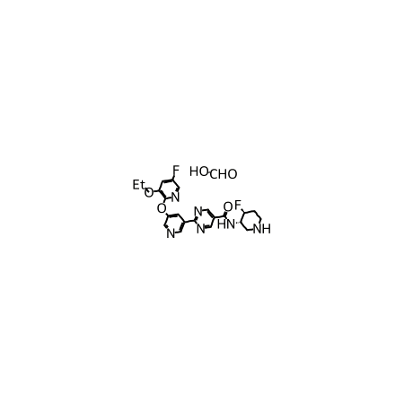 CCOc1cc(F)cnc1Oc1cncc(-c2ncc(C(=O)N[C@H]3CNCC[C@@H]3F)cn2)c1.O=CO